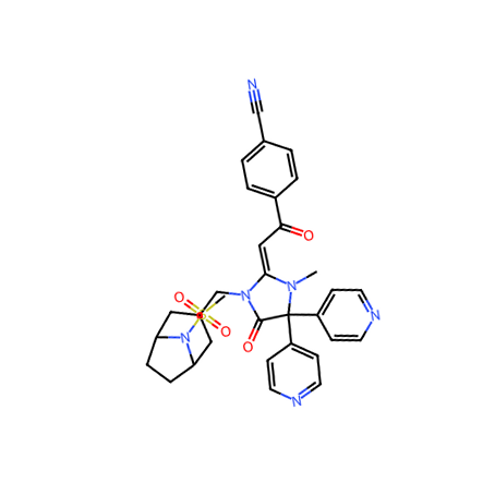 CN1C(=CC(=O)c2ccc(C#N)cc2)N(CC2CC3CCC(C2)N3S(C)(=O)=O)C(=O)C1(c1ccncc1)c1ccncc1